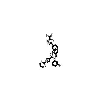 O=C(C1CN(c2ncccn2)C1)N(Cc1cn2ccc(-c3nnc(C(F)F)o3)cc2n1)c1cccc(F)c1